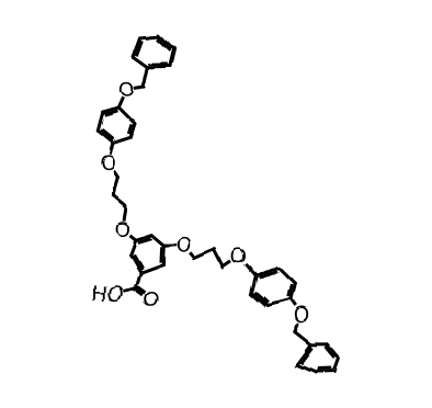 O=C(O)c1cc(OCCCOc2ccc(OCc3ccccc3)cc2)cc(OCCCOc2ccc(OCc3ccccc3)cc2)c1